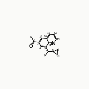 CC(=O)c1cc(C(C)C2CC2)c2ncccc2c1